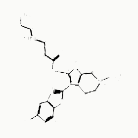 COCCNCCC(=O)Nc1sc2c(c1-c1nc3cc(F)ccc3s1)CCN(C(=O)O)C2